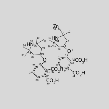 CC1(C)CC(Oc2cccc(C(=O)O)c2C(=O)O)CC(C)(C)N1.CC1(C)CC(Oc2cccc(C(=O)O)c2C(=O)O)CC(C)(C)N1.[Zn]